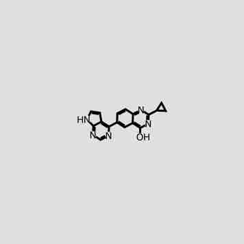 Oc1nc(C2CC2)nc2ccc(-c3ncnc4[nH]ccc34)cc12